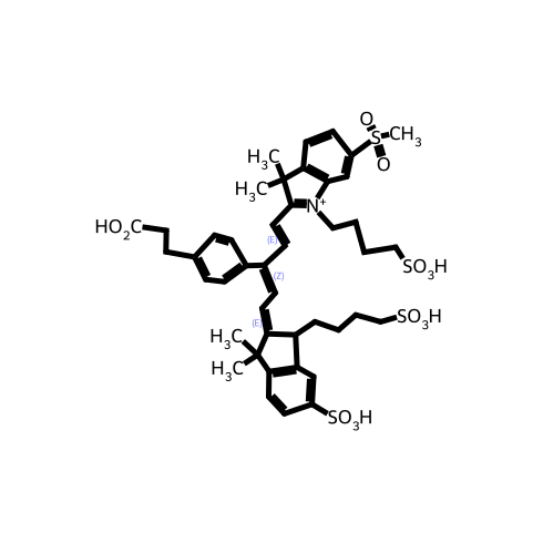 CC1(C)C(/C=C/C(=C/C=C2\C(CCCCS(=O)(=O)O)c3cc(S(=O)(=O)O)ccc3C2(C)C)c2ccc(CCC(=O)O)cc2)=[N+](CCCCS(=O)(=O)O)c2cc(S(C)(=O)=O)ccc21